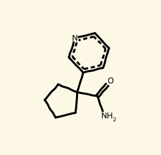 NC(=O)C1(c2cccnc2)CCCC1